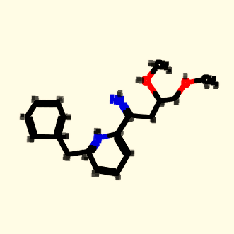 COCC(CC(=N)c1cccc(Cc2ccccc2)n1)OC